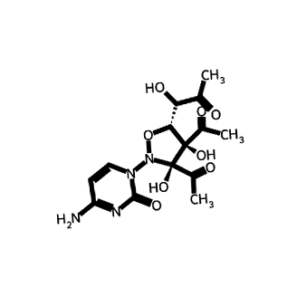 CC(=O)C(O)[C@H]1ON(n2ccc(N)nc2=O)[C@@](O)(C(C)=O)[C@@]1(O)C(C)=O